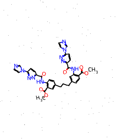 COC(=O)c1ccc(CCCc2ccc(NC(=O)c3ccc(-n4ccnc4)nn3)c(C(=O)OC)c2)cc1NC(=O)c1ccc(-n2ccnc2)nn1